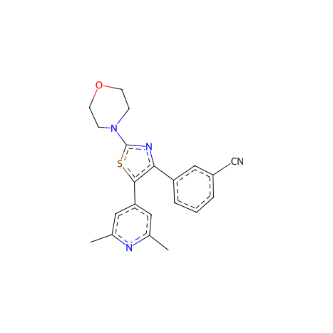 Cc1cc(-c2sc(N3CCOCC3)nc2-c2cccc(C#N)c2)cc(C)n1